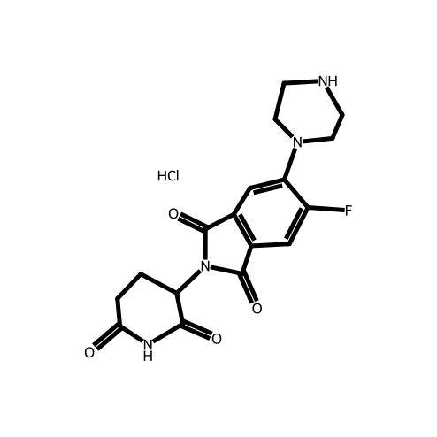 Cl.O=C1CCC(N2C(=O)c3cc(F)c(N4CCNCC4)cc3C2=O)C(=O)N1